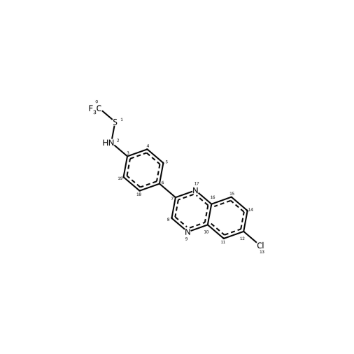 FC(F)(F)SNc1ccc(-c2cnc3cc(Cl)ccc3n2)cc1